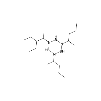 CCCC(C)N1BN(C(C)CCC)BN(C(C)C(CC)CC)B1